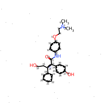 CN(C)CCOc1ccc(NC(=O)/C(=C(\CCO)c2ccccc2)c2ccc(O)cc2)cc1